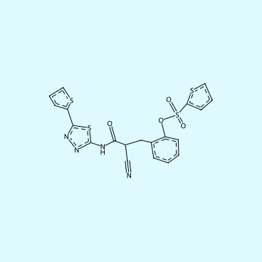 N#CC(Cc1ccccc1OS(=O)(=O)c1cccs1)C(=O)Nc1nnc(-c2cccs2)s1